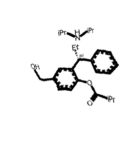 CC(C)NC(C)C.CC[C@H](c1ccccc1)c1cc(CO)ccc1OC(=O)C(C)C